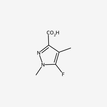 Cc1c(C(=O)O)nn(C)c1F